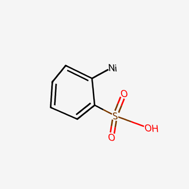 O=S(=O)(O)c1cccc[c]1[Ni]